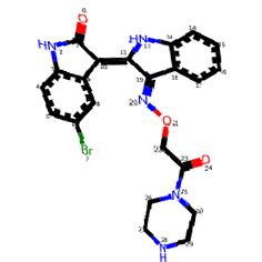 O=C1Nc2ccc(Br)cc2/C1=C1/Nc2ccccc2/C1=N\OCC(=O)N1CCNCC1